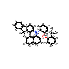 CC1(C)c2ccccc2-c2ccc(N(c3cccc4c3Oc3ccccc3[Si]4(C)C)c3cccc4ccccc34)cc21